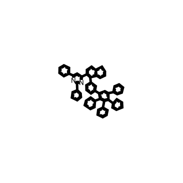 c1ccc(-c2cc(-c3ccc4ccccc4c3-c3cccc(-c4cc(-c5ccccc5)c(-c5ccccc5)c(-c5ccccc5)c4-c4ccccc4)c3)nc(-c3ccccc3)n2)cc1